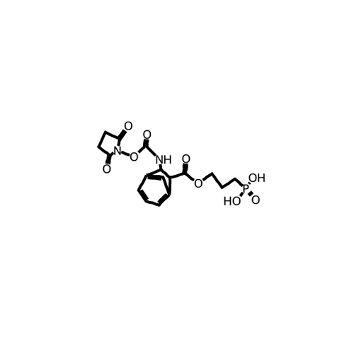 O=C(NC1c2cccc(c2)C1C(=O)OCCCP(=O)(O)O)ON1C(=O)CCC1=O